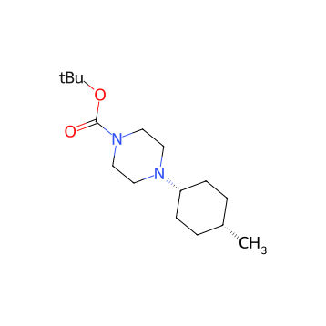 CC(C)(C)OC(=O)N1CCN([C@H]2CC[C@@H](C)CC2)CC1